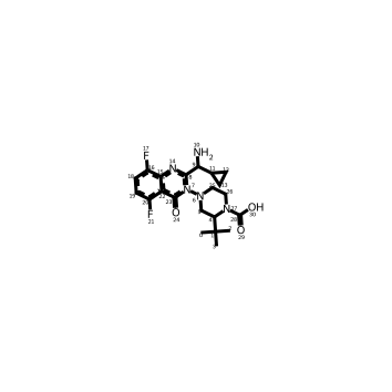 CC(C)(C)C1CN(n2c(C(N)C3CC3)nc3c(F)ccc(F)c3c2=O)CCN1C(=O)O